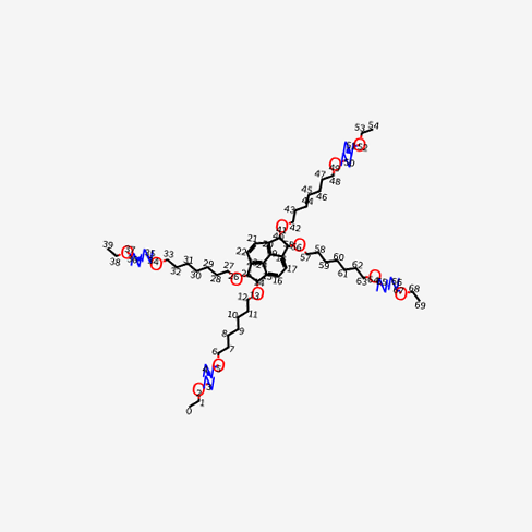 CCON=NOCCCCCCCOC1c2ccc3c4c(ccc(c24)C1OCCCCCCCON=NOCC)C(OCCCCCCCON=NOCC)C3OCCCCCCCON=NOCC